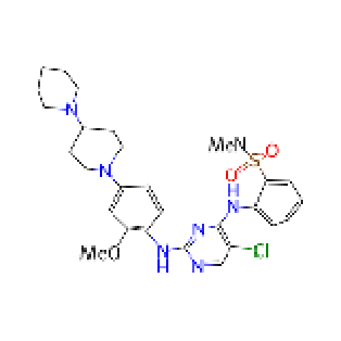 CNS(=O)(=O)c1ccccc1Nc1nc(Nc2ccc(N3CCC(N4CCCCC4)CC3)cc2OC)ncc1Cl